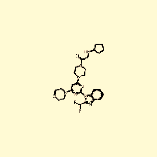 O=C(CNC1CCCC1)N1CCN(c2cc(N3CCOCC3)nc(-n3c(C(F)F)nc4ccccc43)n2)CC1